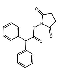 O=C(ON1C(=O)CCC1=O)C(c1ccccc1)c1ccccc1